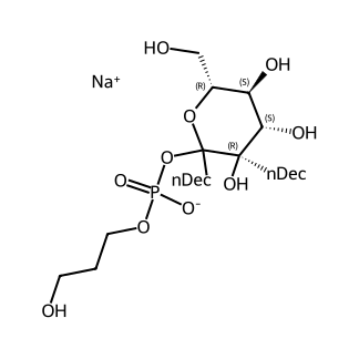 CCCCCCCCCCC1(OP(=O)([O-])OCCCO)O[C@H](CO)[C@@H](O)[C@H](O)[C@]1(O)CCCCCCCCCC.[Na+]